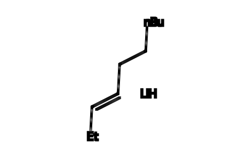 CCC=CCCCCCC.[LiH]